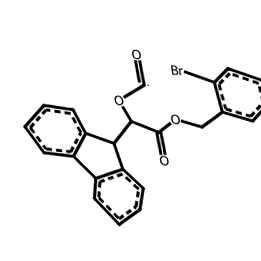 O=[C]OC(C(=O)OCc1ccccc1Br)C1c2ccccc2-c2ccccc21